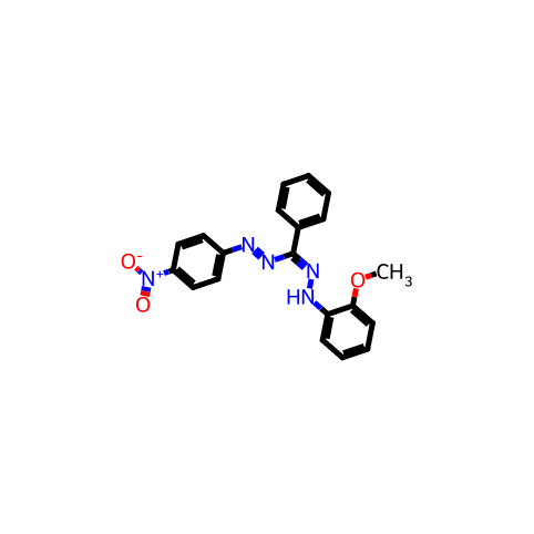 COc1ccccc1N/N=C(\N=N\c1ccc([N+](=O)[O-])cc1)c1ccccc1